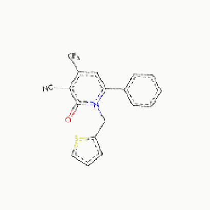 N#Cc1c(C(F)(F)F)cc(-c2ccccc2)n(Cc2cccs2)c1=O